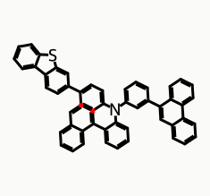 c1cc(-c2cc3ccccc3c3ccccc23)cc(N(c2ccc(-c3ccc4c(c3)sc3ccccc34)cc2)c2ccccc2-c2cccc3ccccc23)c1